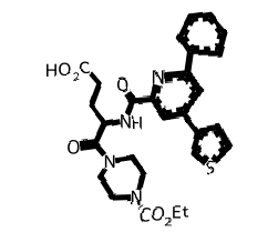 CCOC(=O)N1CCN(C(=O)C(CCC(=O)O)NC(=O)c2cc(-c3ccsc3)cc(-c3ccccc3)n2)CC1